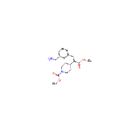 CC(C)(C)OC(=O)C(Cc1cccc(CN)c1)C1CCN(C(=O)OC(C)(C)C)CC1